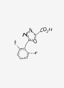 O=C(O)c1nnc(-c2c(F)cccc2F)o1